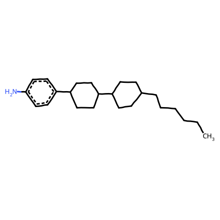 CCCCCCC1CCC(C2CCC(c3ccc(N)cc3)CC2)CC1